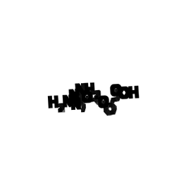 CCc1nc(N)nc(N)c1OCCCOc1ccccc1/C=C/C(=O)O